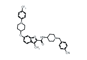 Cc1c(C(=O)NC2CCN(Cc3ccc(C#N)cc3)CC2)oc2cc(OC3CCN(c4ccc(C(F)(F)F)cc4)CC3)ccc12